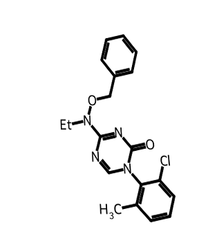 CCN(OCc1ccccc1)c1ncn(-c2c(C)cccc2Cl)c(=O)n1